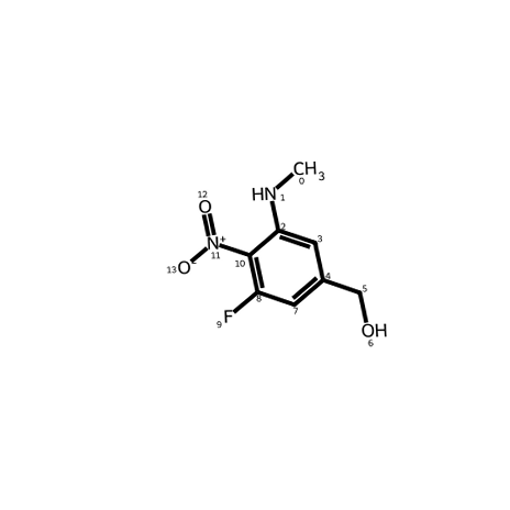 CNc1cc(CO)cc(F)c1[N+](=O)[O-]